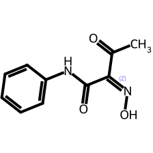 CC(=O)/C(=N/O)C(=O)Nc1ccccc1